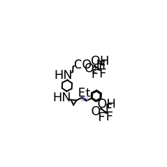 CC/C(=C\c1ccccc1)C1CC1N[C@H]1CC[C@@H](NCCC(=O)O)CC1.O=C(O)C(F)(F)F.O=C(O)C(F)(F)F